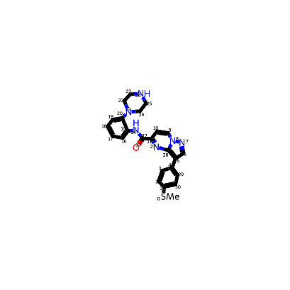 CSc1ccc(-c2cnn3ccc(C(=O)Nc4ccccc4N4CCNCC4)nc23)cc1